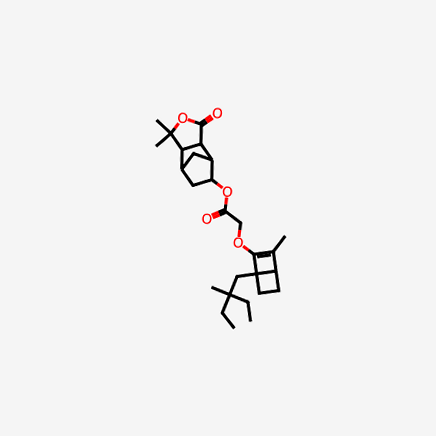 CCC(C)(CC)CC12CCC1C(C)=C2OCC(=O)OC1CC2CC1C1C(=O)OC(C)(C)C21